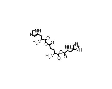 N[C@@H](Cc1cnc[nH]1)C(=O)OC(=O)CC[C@H](N)C(=O)OC(=O)[C@@H](N)Cc1cnc[nH]1